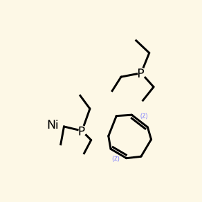 C1=C\CC/C=C\CC/1.CCP(CC)CC.CCP(CC)CC.[Ni]